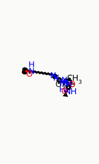 COc1cc(N2CCN(CCCCCCCCCCCCNC(=O)CC34CC5CC(CC(C5)C3)C4)CC2)ccc1Nc1ncc2c(C)cc(=O)n([C@H]3CC[C@@H](NC(=O)C4CC4)CC3)c2n1